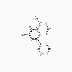 O=c1cc(-c2ccccc2)c2cccc(O)c2o1